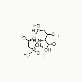 CCC(C)C(N)C(=O)O.C[N+](C)(C)CC(=O)[O-].Cl